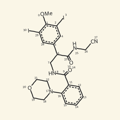 COc1c(I)cc(C(CNC(=O)c2ccccc2N2CCOCC2)C(=O)NCC#N)cc1I